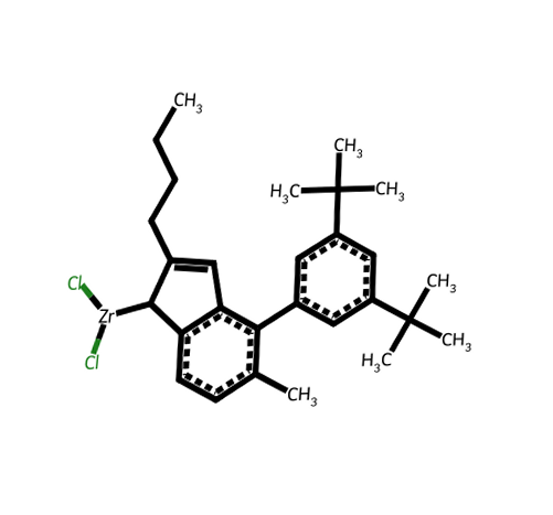 CCCCC1=Cc2c(ccc(C)c2-c2cc(C(C)(C)C)cc(C(C)(C)C)c2)[CH]1[Zr]([Cl])[Cl]